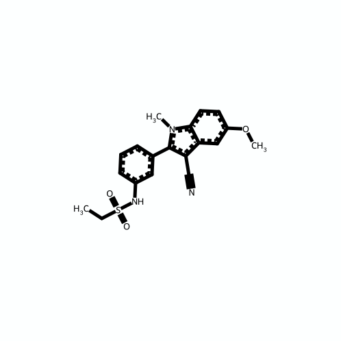 CCS(=O)(=O)Nc1cccc(-c2c(C#N)c3cc(OC)ccc3n2C)c1